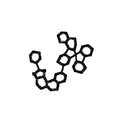 c1ccc(-c2nc3ccc4ccc5ccc(-c6ccc7c(c6)C6(c8ccccc8-c8ccccc86)c6ccc8ccccc8c6-7)cc5c4c3o2)cc1